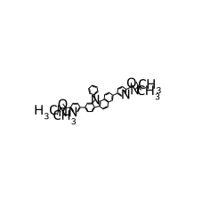 CC1(C)COC(c2ccc(-c3ccc4c(ccc5c6ccc(-c7ccc(C8=NC(C)(C)CO8)nc7)cc6n(-c6ccccc6)c45)c3)cn2)=N1